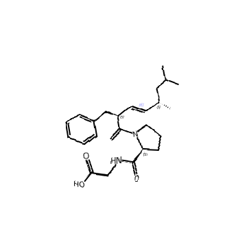 C=C([C@H](/C=C/[C@@H](C)CC(C)C)Cc1ccccc1)N1CCC[C@H]1C(=O)NCC(=O)O